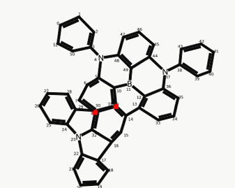 c1ccc(N2c3ccccc3B3c4c(-c5cc6c7ccccc7n7c8ccccc8c(c5)c67)cccc4N(c4ccccc4)c4cccc2c43)cc1